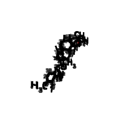 CCOC[C@]12CC[C@@](C)(O)C[C@@H]1CC[C@H]1[C@@H]3CC[C@H](C(=O)Cn4nnc5c(F)c(C)ccc54)[C@@]3(C)CC[C@@H]12